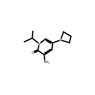 CC(C)n1cc(N2CCC2)cc(N)c1=O